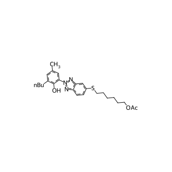 CCCCc1cc(C)cc(-n2nc3ccc(SCCCCCCOC(C)=O)cc3n2)c1O